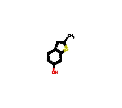 Cc1cc2ccc(O)cc2s1